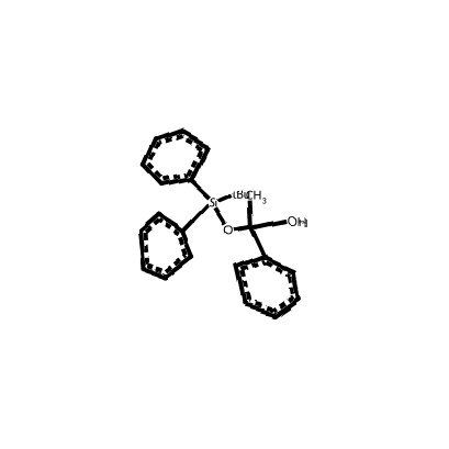 CC(O)(O[Si](c1ccccc1)(c1ccccc1)C(C)(C)C)c1ccccc1